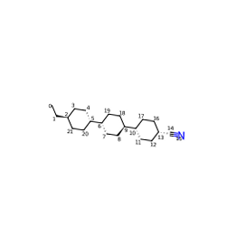 CC[C@H]1CC[C@H]([C@H]2CC[C@H]([C@H]3CC[C@@H](C#N)CC3)CC2)CC1